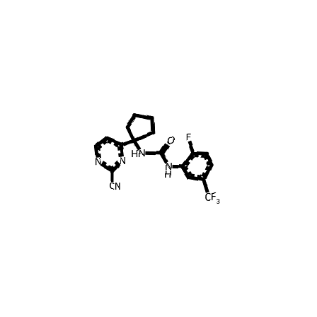 N#Cc1nccc(C2(NC(=O)Nc3cc(C(F)(F)F)ccc3F)CCCC2)n1